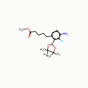 COC(=O)CCCCc1ccc(N)c(F)c1B1OC(C)(C)C(C)(C)O1